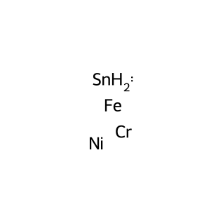 [Cr].[Fe].[Ni].[SnH2]